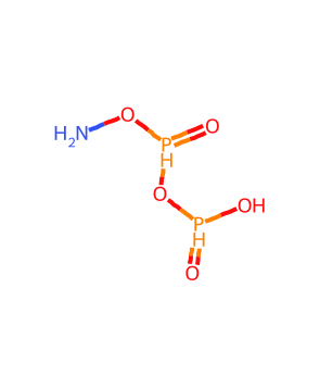 NO[PH](=O)O[PH](=O)O